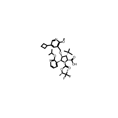 COc1ncc(C2CCC2)cc1CO[C@H]1[C@H](C(C)(C)C)[C@@H](C(=O)O)N(C(=O)O[C@H](C)C(F)(F)F)[C@H]1c1cccnc1OC(C)C